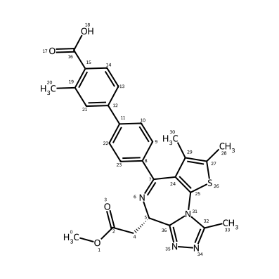 COC(=O)C[C@@H]1N=C(c2ccc(-c3ccc(C(=O)O)c(C)c3)cc2)c2c(sc(C)c2C)-n2c(C)nnc21